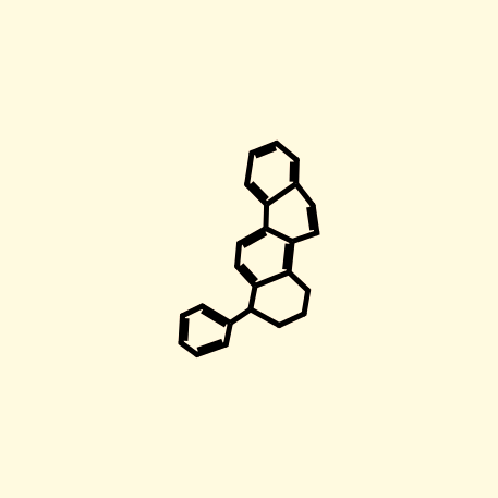 c1ccc(C2CCCc3c2ccc2c3ccc3ccccc32)cc1